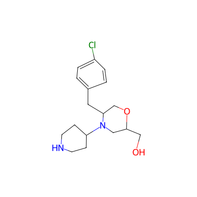 OCC1CN(C2CCNCC2)C(Cc2ccc(Cl)cc2)CO1